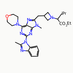 CCOC(=O)C(C(C)C)N1CC(Cc2nc3c(N4CCOCC4)nc(-n4c(C)nc5ccccc54)nc3n2C)C1